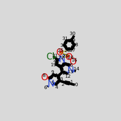 CC#Cc1cn(C)c(=O)cc1-c1cn(C)c(=O)c2c1cc(Cl)n2S(=O)(=O)c1ccc(C)cc1